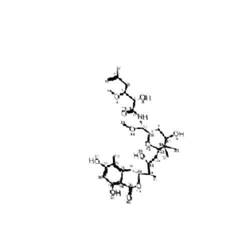 C=C(C)CC(OC)[C@H](O)C(=O)N[C@@H](OC)[C@@H]1C[C@@H](O)C(C)(C)[C@@H](C[C@H](O)[C@@H](C)[C@H]2Cc3c(C)c(O)cc(O)c3C(=O)O2)O1